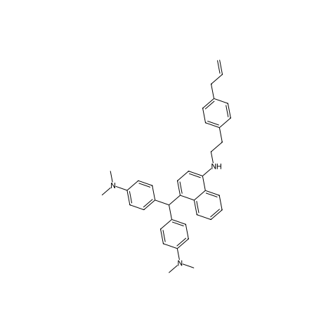 C=CCc1ccc(CCNc2ccc(C(c3ccc(N(C)C)cc3)c3ccc(N(C)C)cc3)c3ccccc23)cc1